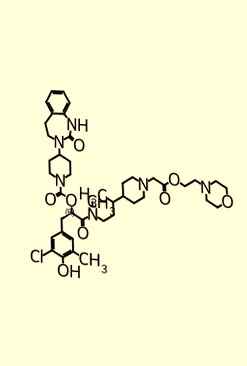 Cc1cc(C[C@@H](OC(=O)N2CCC(N3CCc4ccccc4NC3=O)CC2)C(=O)N(C)CCC(C)C2CCN(CC(=O)OCCN3CCOCC3)CC2)cc(Cl)c1O